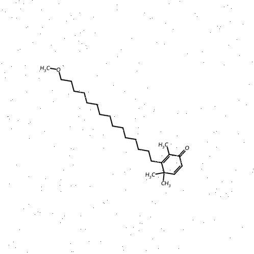 COCCCCCCCCCCCCCCCC1=C(C)C(=O)C=CC1(C)C